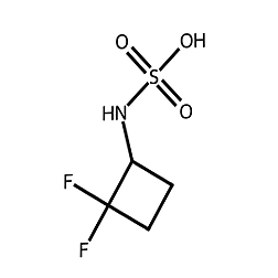 O=S(=O)(O)NC1CCC1(F)F